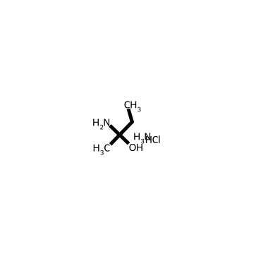 CCC(C)(N)O.Cl.N